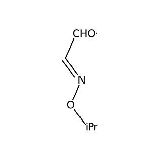 CC(C)ON=C[C]=O